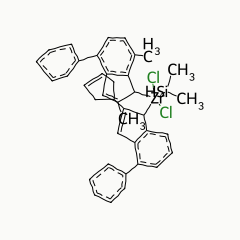 CC1=Cc2c(-c3ccccc3)ccc(C)c2[CH]1[Zr]([Cl])([Cl])([CH]1C(C2CC=CC2)=Cc2c(-c3ccccc3)cccc21)[SiH](C)C